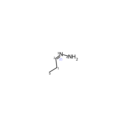 CC/C=N\N